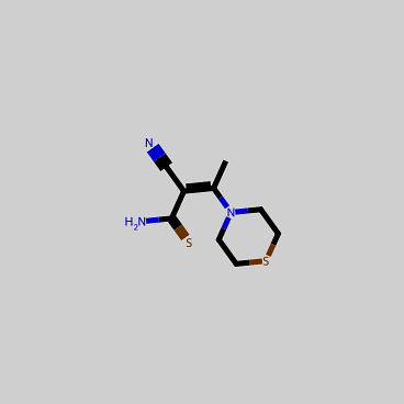 CC(=C(C#N)C(N)=S)N1CCSCC1